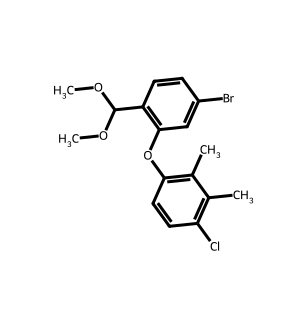 COC(OC)c1ccc(Br)cc1Oc1ccc(Cl)c(C)c1C